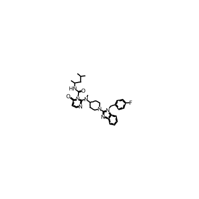 CC(C)CC(C)NC(=O)n1c(N(C)C2CCN(c3nc4ccccc4n3Cc3ccc(F)cc3)CC2)nccc1=O